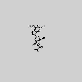 C#C[C@]1(COC(=O)C(C)C)O[C@@H](n2ccc3c(N)nc(Cl)nc32)C[C@@H]1O